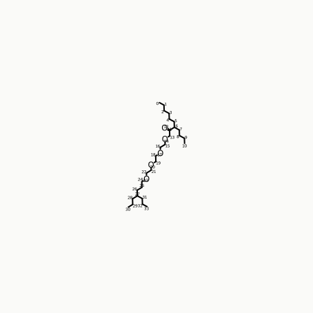 CCCCCCC(CCCC)C(=O)COCCOCCOCCOCCCC(CCC)CCC